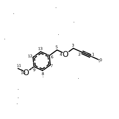 [CH2]C#CCOCc1ccc(OC)cc1